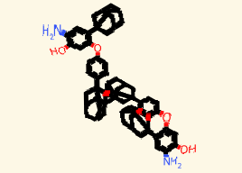 Nc1cc(C23CC4CC(CC(C4)C2)C3)c(Oc2ccc(C34CC5CC(C3)CC(C36CC7CC(CC(c8ccc(Oc9cc(O)c(N)cc9C9%10CC%11CC(CC(C%11)C9)C%10)cc8)(C7)C3)C6)(C5)C4)cc2)cc1O